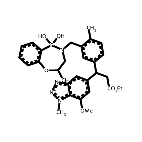 CCOC(=O)CC(c1ccc(C)c(CN2CC(C)Oc3ccccc3S2(O)O)c1)c1cc(OC)c2c(c1)nnn2C